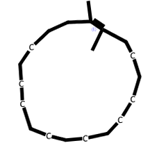 C/C1=C(/C)CCCCCCCCCCCCCCCC1